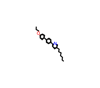 CCCCCCCc1ccc(-c2ccc(-c3ccc(OCCC)cc3)cc2)nc1